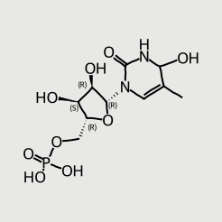 CC1=CN([C@@H]2O[C@H](COP(=O)(O)O)[C@@H](O)[C@H]2O)C(=O)NC1O